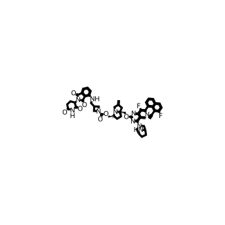 C#Cc1c(F)ccc2cccc(-c3ncc4c(N5CC6CCC(C5)N6)nc(OC[C@@]56CC[C@@H](COC(=O)N7CC(CNc8cccc9c8C(=O)N(C8CCC(=O)NC8=O)C9=O)C7)N5CC(=C)C6)nc4c3F)c12